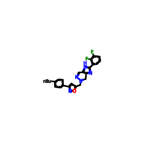 CCCCc1ccc(-c2cc(CN3Cc4nc(-c5cccc(F)c5F)[nH]c4C=N3)on2)cc1